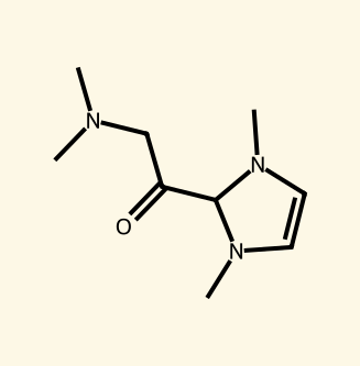 CN(C)CC(=O)C1N(C)C=CN1C